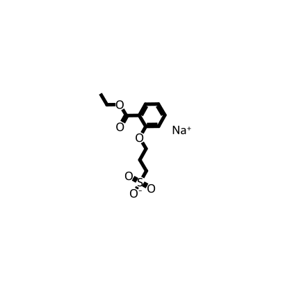 CCOC(=O)c1ccccc1OCCCS(=O)(=O)[O-].[Na+]